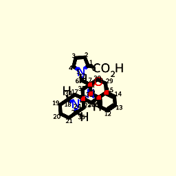 O=C(O)C1CCCN1CC(=O)N(c1ccccc1)[C@H]1C[C@H]2CCC[C@@H](C1)N2[C@H]1C[C@@H]2CCC[C@@H](C2)C1